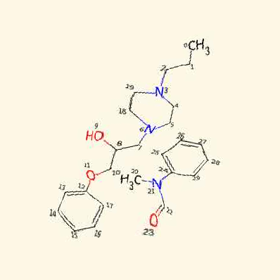 CCCN1CCN(CC(O)COc2ccccc2)CC1.CN(C=O)c1ccccc1